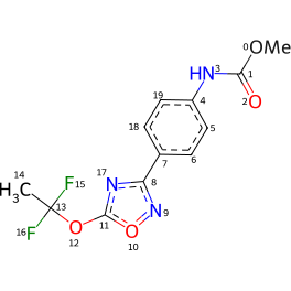 COC(=O)Nc1ccc(-c2noc(OC(C)(F)F)n2)cc1